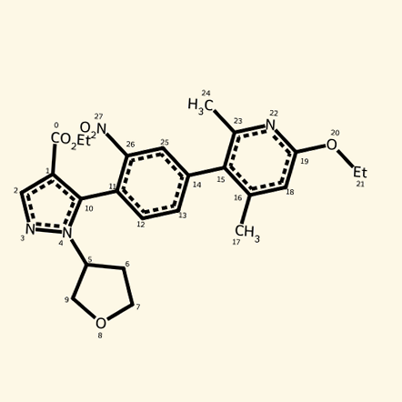 CCOC(=O)c1cnn(C2CCOC2)c1-c1ccc(-c2c(C)cc(OCC)nc2C)cc1[N+](=O)[O-]